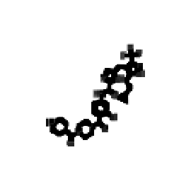 O=C(Nc1ccc(C(=O)N2CCN(C(=O)C3CCNCC3)CC2)c(Cl)c1)c1ncc(Cc2c(C(F)(F)F)n[nH]c2CCC2CC2)[nH]1